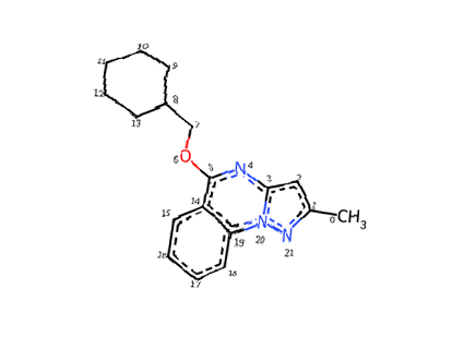 Cc1cc2nc(OCC3CCCCC3)c3ccccc3n2n1